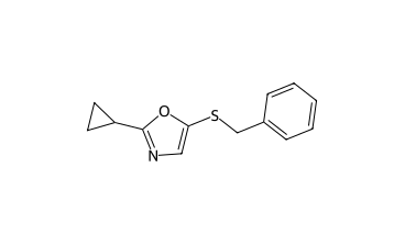 c1ccc(CSc2cnc(C3CC3)o2)cc1